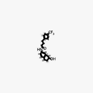 O=C(CCCc1ccc(C(F)(F)F)cc1)Nc1ccc2c(c1)CC(O)CC2